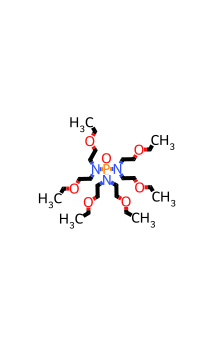 CCOCCN(CCOCC)P(=O)(N(CCOCC)CCOCC)N(CCOCC)CCOCC